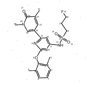 Cc1cccc(C)c1Oc1nc(NS(=O)(=O)CCCF)cc(-c2cc(C)c(=O)n(C)c2)n1